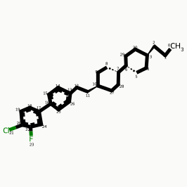 CCC[C@H]1CC[C@H]([C@H]2CC[C@H](CCc3ccc(-c4ccc(Cl)c(F)c4)cc3)CC2)CC1